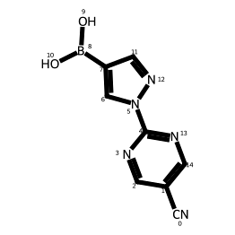 N#Cc1cnc(-n2cc(B(O)O)cn2)nc1